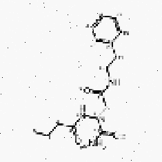 CCCC(=O)N[C@H](CC(=O)NCCc1ccccc1)C(N)=O